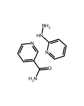 NC(=O)c1cccnc1.NNc1ccccn1